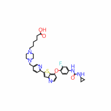 O=C(O)CCCCCN1CCN(Cc2ccc(-c3cc4nccc(Oc5ccc(NC(=O)NC6CC6)cc5F)c4s3)nc2)CC1